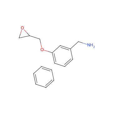 NCc1cccc(OCC2CO2)c1.c1ccccc1